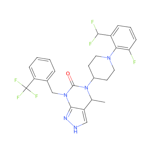 CC1c2c[nH]nc2N(Cc2ccccc2C(F)(F)F)C(=O)N1C1CCN(c2c(F)cccc2C(F)F)CC1